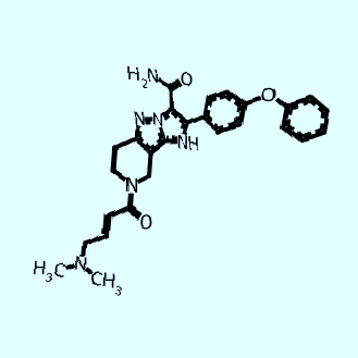 CN(C)C/C=C/C(=O)N1CCc2nn3c(C(N)=O)c(-c4ccc(Oc5ccccc5)cc4)[nH]c3c2C1